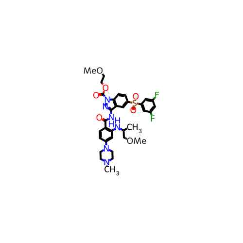 COCCOC(=O)n1nc(NC(=O)c2ccc(N3CCN(C)CC3)cc2NC(C)COC)c2cc(S(=O)(=O)c3cc(F)cc(F)c3)ccc21